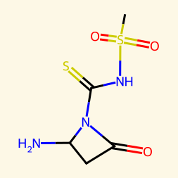 CS(=O)(=O)NC(=S)N1C(=O)CC1N